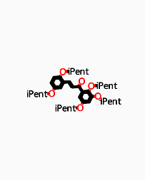 CCCC(C)Oc1ccc(OC(C)CCC)c(C=CC(=O)c2cc(OC(C)CCC)cc(OC(C)CCC)c2OC(C)CCC)c1